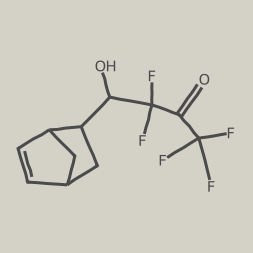 O=C(C(F)(F)F)C(F)(F)C(O)C1CC2C=CC1C2